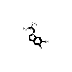 C[C@H](N)CN1CCc2cc(F)c(S)cc21